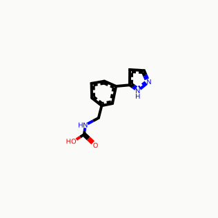 O=C(O)NCc1cccc(-c2ccn[nH]2)c1